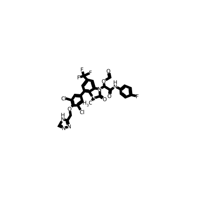 Cn1c(=O)n(C(OC=O)C(=O)Nc2ccc(F)cc2)c2cc(C(F)(F)F)cc(-c3cc(Cl)c(OCc4nnc[nH]4)c(Cl)c3)c21